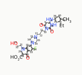 CCc1cc(Nc2cc(=O)n(CCCCN3CCN(c4cc5c(cc4F)c(=O)c(C(=O)O)cn5CCO)CC3)c(=O)[nH]2)ccc1C